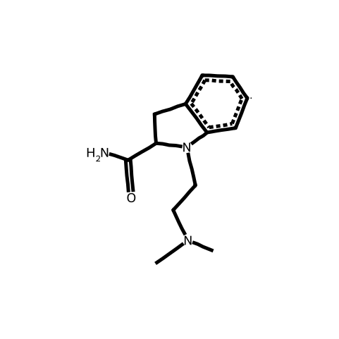 CN(C)CCN1c2c[c]ccc2CC1C(N)=O